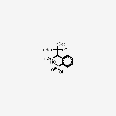 CCCCCCCCCCC(c1ccccc1P(=O)(O)O)C(CCCCCC)(CCCCCCCC)CCCCCCCCCC